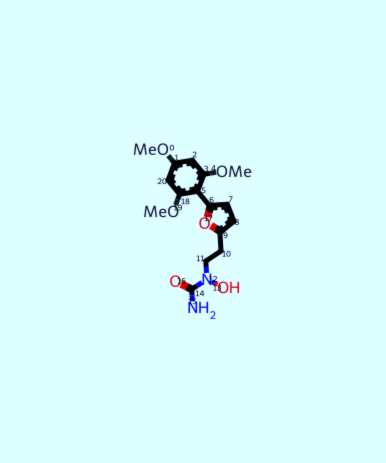 COc1cc(OC)c(-c2ccc(CCN(O)C(N)=O)o2)c(OC)c1